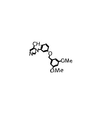 COc1cc(COc2cccc(-n3cncc3C)c2)cc(OC)c1